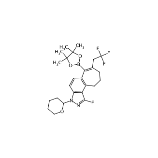 CC1(C)OB(C2=C(CC(F)(F)F)CCCc3c2ccc2c3c(F)nn2C2CCCCO2)OC1(C)C